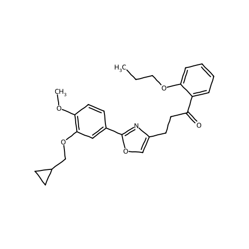 CCCOc1ccccc1C(=O)CCc1coc(-c2ccc(OC)c(OCC3CC3)c2)n1